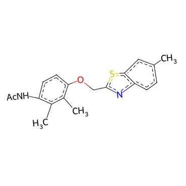 CC(=O)Nc1ccc(OCc2nc3ccc(C)cc3s2)c(C)c1C